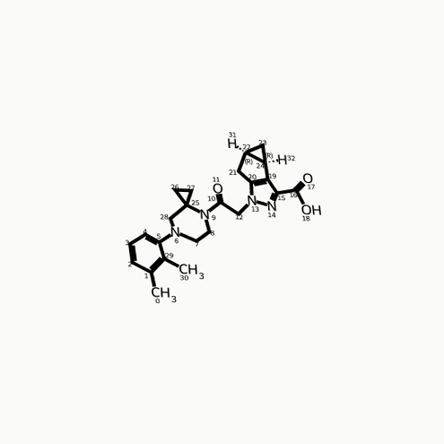 Cc1cccc(N2CCN(C(=O)Cn3nc(C(=O)O)c4c3C[C@H]3C[C@@H]43)C3(CC3)C2)c1C